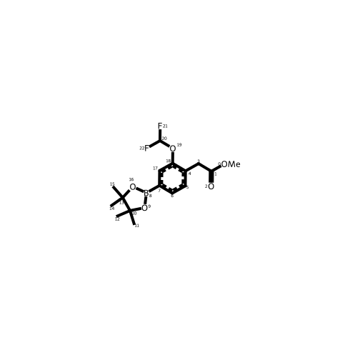 COC(=O)Cc1ccc(B2OC(C)(C)C(C)(C)O2)cc1OC(F)F